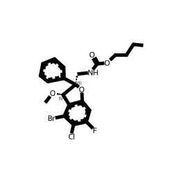 CCCCOC(=O)NC[C@]1(c2ccccc2)Oc2cc(F)c(Cl)c(Br)c2[C@@H]1OC